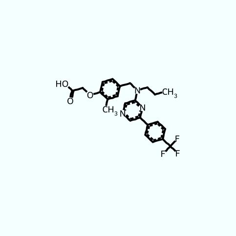 CCCN(Cc1ccc(OCC(=O)O)c(C)c1)c1cncc(-c2ccc(C(F)(F)F)cc2)n1